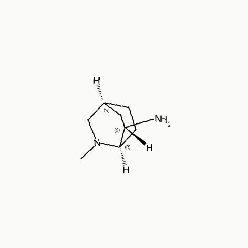 CN1C[C@H]2CC[C@@H]1[C@@H](N)C2